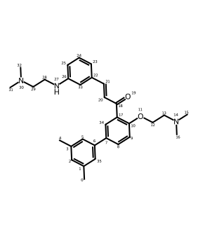 Cc1cc(C)cc(-c2ccc(OCCN(C)C)c(C(=O)C=Cc3cccc(NCCN(C)C)c3)c2)c1